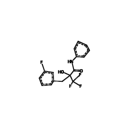 O=C(Nc1ccccc1)C(O)(Cc1cccc(F)c1)C(F)(F)F